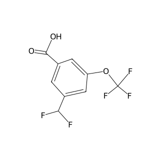 O=C(O)c1cc(OC(F)(F)F)cc(C(F)F)c1